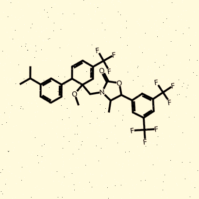 COC1(CN2C(=O)OC(c3cc(C(F)(F)F)cc(C(F)(F)F)c3)C2C)C=C(C(F)(F)F)C=CC1c1cccc(C(C)C)c1